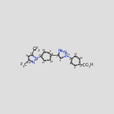 O=C(O)c1ccc(-n2cc(-c3ccc(-n4nc(C(F)(F)F)cc4C(F)(F)F)cc3)nn2)cc1